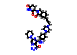 NC(=O)c1ncc(N2CCCCC2)nc1Nc1ccc(N2CCN(CC#Cc3ccc4c(c3)C(=O)N(C3CCC(=O)NC3=O)C4)CC2)cc1